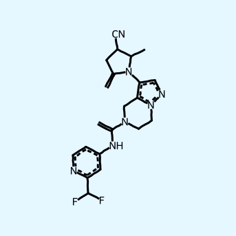 C=C(Nc1ccnc(C(F)F)c1)N1CCn2ncc(N3C(=C)CC(C#N)C3C)c2C1